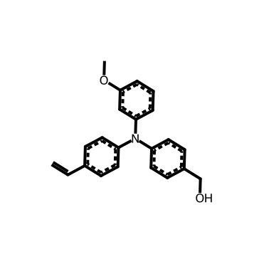 C=Cc1ccc(N(c2ccc(CO)cc2)c2cccc(OC)c2)cc1